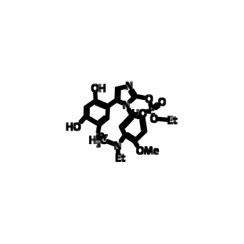 CCOP(=O)(O)Oc1ncc(-c2cc(C(C)C)c(O)cc2O)n1-c1ccc(OC)c(N(C)CC)c1